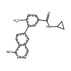 Cc1ccc(C(=O)NC2CC2)cc1-c1ccc2c(C#N)nncc2c1